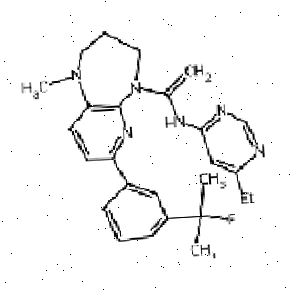 C=C(Nc1cc(CC)ncn1)N1CCCN(C)c2ccc(-c3cccc(C(C)(C)F)c3)nc21